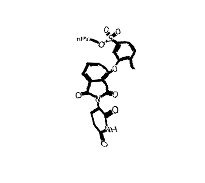 CCCOS(=O)(=O)c1ccc(C)c(Oc2cccc3c2C(=O)N(C2CCC(=O)NC2=O)C3=O)c1